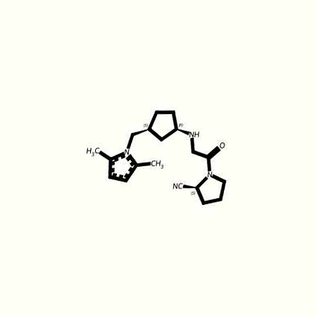 Cc1ccc(C)n1C[C@H]1CC[C@@H](NCC(=O)N2CCC[C@H]2C#N)C1